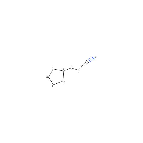 N#CC[CH]C1CCCC1